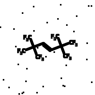 FC(F)(F)C(/C=C/C(C(F)(F)F)(C(F)(F)F)C(F)(F)F)(C(F)(F)F)C(F)(F)F